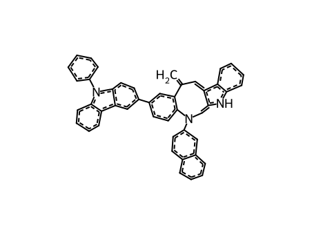 C=C1/C=c2\c([nH]c3ccccc23)=C/N(c2ccc3ccccc3c2)c2ccc(-c3ccc4c(c3)c3ccccc3n4-c3ccccc3)cc21